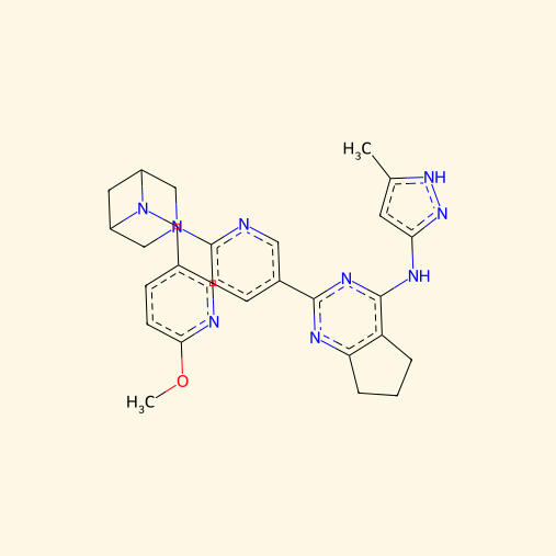 COc1ccc(CN2C3CC2CN(c2ccc(-c4nc5c(c(Nc6cc(C)[nH]n6)n4)CCC5)cn2)C3)cn1